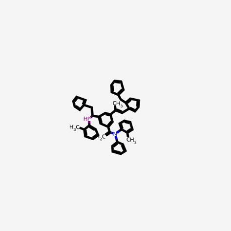 C=C(c1cc(/C(C)=C/c2ccccc2Cc2ccccc2)cc(C(Cc2ccccc2)Pc2ccccc2C)c1)N(c1ccccc1)c1ccccc1C